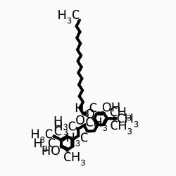 CCCCCCCCCCCCCCCCCC(=O)OC(C)(C(C)Cc1cc(C)c(O)c(C(C)(C)C)c1)C(C)Cc1cc(C)c(O)c(C(C)(C)C)c1